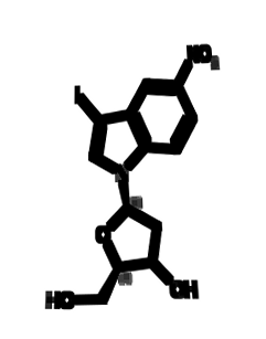 O=[N+]([O-])c1ccc2c(c1)c(I)cn2[C@H]1CC(O)[C@@H](CO)O1